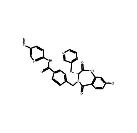 COc1ccc(NC(=O)c2ccc(CN3C(=O)c4ccc(Cl)cc4NC(=O)[C@H]3Cc3cccnc3)cc2)nc1